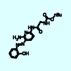 CCCCOC(=O)NCC(=O)Nc1ccc(/N=N/c2ccccc2O)c(N)n1